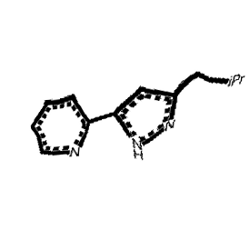 CC(C)Cc1cc(-c2ccccn2)[nH]n1